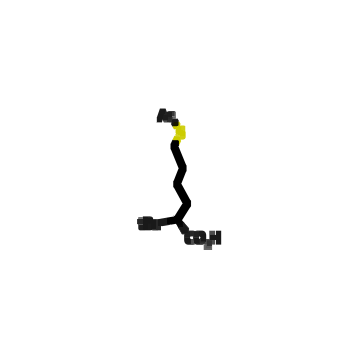 CC(=O)SCCCC[C@@H](C(=O)O)C(C)(C)C